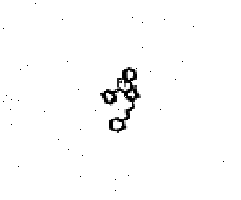 PC(c1ccccc1)c1cc(CCCc2ccccc2)ccc1-c1ccccc1